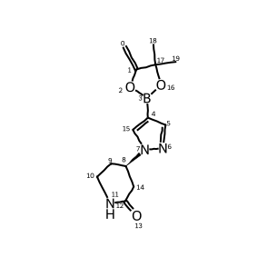 C=C1OB(c2cnn([C@@H]3CCNC(=O)C3)c2)OC1(C)C